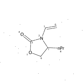 C=CN1C(=O)OCC1CCC